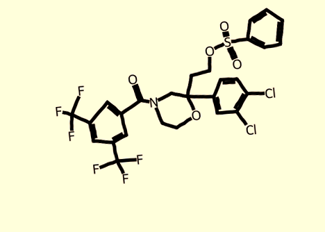 O=C(c1cc(C(F)(F)F)cc(C(F)(F)F)c1)N1CCOC(CCOS(=O)(=O)c2ccccc2)(c2ccc(Cl)c(Cl)c2)C1